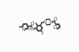 Cc1ccc(C(=O)Nc2cc(F)cc(CN3CCN(C(=O)c4ccco4)CC3)c2C)cn1